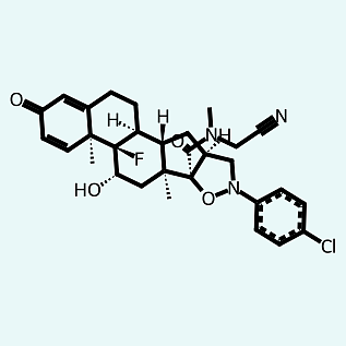 CN(CC#N)C(=O)[C@@]12ON(c3ccc(Cl)cc3)C[C@@H]1C[C@H]1[C@@H]3CCC4=CC(=O)C=C[C@]4(C)[C@@]3(F)[C@@H](O)C[C@@]12C